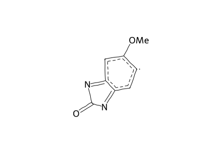 COc1[c]cc2c(c1)=NC(=O)N=2